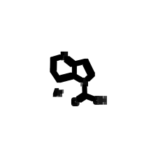 O=C(O)n1ccc2ncccc21.[Ar]